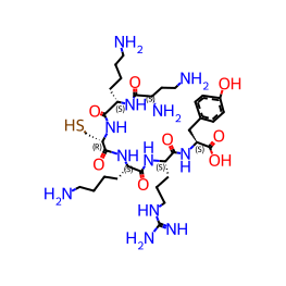 N=C(N)NCCC[C@H](NC(=O)[C@H](CCCCN)NC(=O)[C@H](CS)NC(=O)[C@H](CCCCN)NC(=O)[C@@H](N)CCN)C(=O)N[C@@H](Cc1ccc(O)cc1)C(=O)O